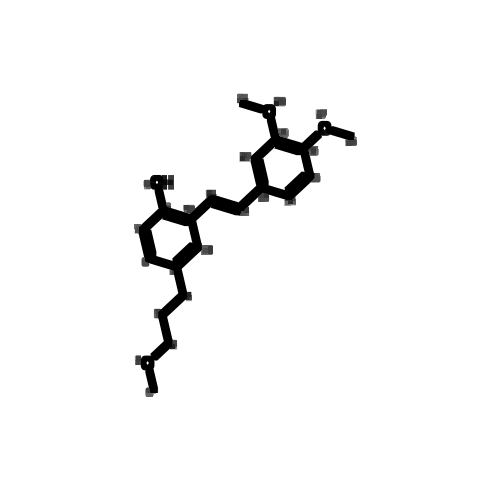 COCCCc1ccc(O)c(C=Cc2ccc(OC)c(OC)c2)c1